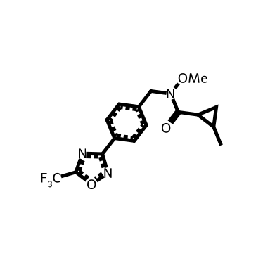 CON(Cc1ccc(-c2noc(C(F)(F)F)n2)cc1)C(=O)C1CC1C